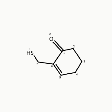 O=C1CCCC=C1CS